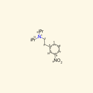 CC(C)N(CCc1cccc([N+](=O)[O-])c1)C(C)C